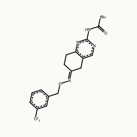 CC(C)(C)C(=O)Nc1ncc2c(n1)CCC(=NOCc1cccc(C(F)(F)F)c1)C2